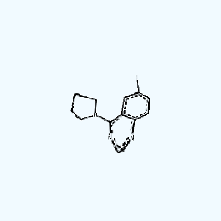 Ic1ccc2ncnc(N3CCCC3)c2c1